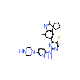 CC1=Nc2c(C)cc(-c3nc(Nc4ccc(N5CCNCC5)cn4)ncc3F)cc2C12CCCC2